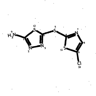 Nc1nnc(Sc2ncc(Cl)s2)s1